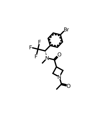 CC(=O)N1CC(C(=O)N(C)[C@@H](c2ccc(Br)cc2)C(F)(F)F)C1